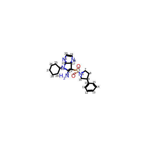 Nc1c(S(=O)(=O)N2CCC(c3ccccc3)C2)c2nccnc2n1C1CCCCC1